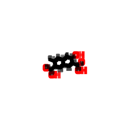 Cc1cc2cc(O)c(C(=O)O)cc2cc1C(=O)O